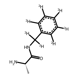 [2H]c1c([2H])c([2H])c(C([2H])([2H])NC(=O)[C@H](C)N)c([2H])c1[2H]